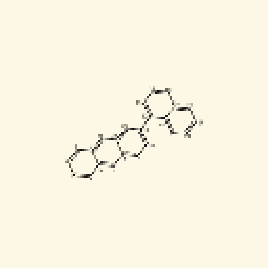 [c]1c2ccccc2cc2ccc(-c3cccc4ccccc34)cc12